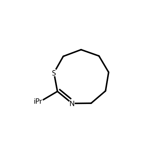 CC(C)/C1=N/CCCCCCS1